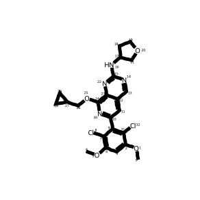 COc1cc(OC)c(Cl)c(-c2cc3cnc(NC4CCOC4)nc3c(OCC3CC3)n2)c1Cl